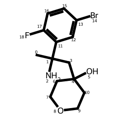 CC(N)(CC1(O)CCOCC1)c1cc(Br)ccc1F